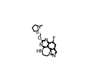 CN1CCC[C@H]1COc1nc2c3c(n1)c(F)cc1cnn(c13)CCN2